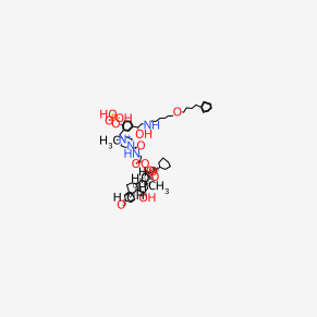 C[C@]12C=CC(=O)C=C1CC[C@@H]1[C@@H]2[C@@H](O)C[C@@]2(C)[C@H]1C[C@H]1O[C@@H](C3CCCCC3)O[C@]12C(=O)COC(=O)CNC(=O)N1CC[N+](C)(Cc2cc(C(O)CNCCCCCCOCCCCc3ccccc3)ccc2OP(=O)(O)O)CC1